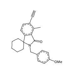 C#Cc1ccc2c(c1C)C(=O)N(Cc1ccc(OC)cc1)C21CCCCC1